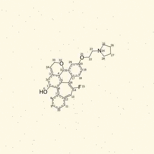 Oc1cc2c(c3c1=c1ccccc1=CC(F)=C3c1ccc(OCCN3CCCC3)cc1)COCC=2